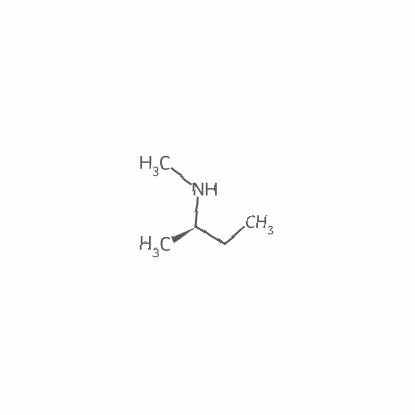 CC[C@@H](C)NC